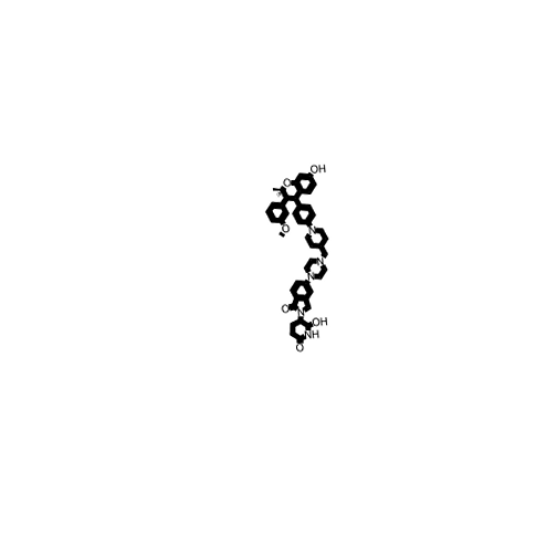 COc1cccc(C2C(c3ccc(N4CCC(CN5CCN(c6ccc7c(c6)CN(C6CCC(=O)NC6O)C7=O)CC5)CC4)cc3)c3ccc(O)cc3O[C@@H]2C)c1